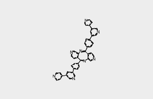 c1cc(-c2cncc(-c3ccc(/C4=N/c5cnccc5/C(c5ccc(-c6cncc(-c7ccncc7)c6)cc5)=N\c5cnccc54)cc3)c2)ccn1